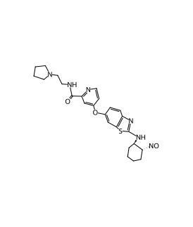 O=N[C@@H]1CCCC[C@H]1Nc1nc2ccc(Oc3ccnc(C(=O)NCCN4CCCC4)c3)cc2s1